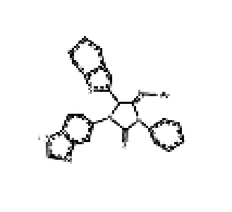 CCCN=C1C(c2cc3ccccc3s2)N(c2ccc3[nH]cnc3c2)C(=S)N1c1ccccc1